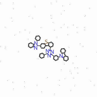 c1ccc(-c2nc(-c3cccc(-n4c5ccccc5c5ccccc54)c3)nc(-c3cccc4sc5cc(-c6nc7ccccc7n6-c6ccccc6)ccc5c34)n2)cc1